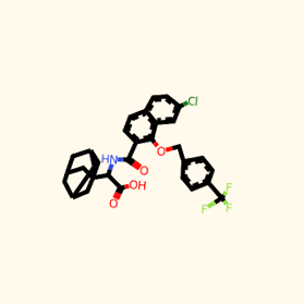 O=C(NC(C(=O)O)C12CC3CC(CC(C3)C1)C2)c1ccc2ccc(Cl)cc2c1OCc1ccc(C(F)(F)F)cc1